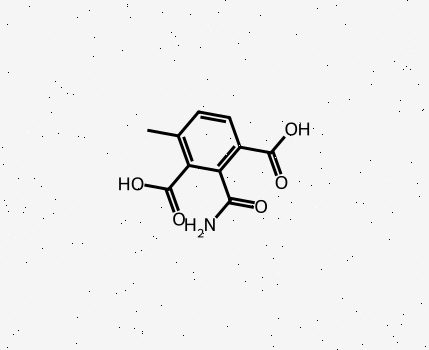 Cc1ccc(C(=O)O)c(C(N)=O)c1C(=O)O